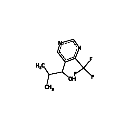 CC(C)C(O)c1cncnc1C(F)(F)F